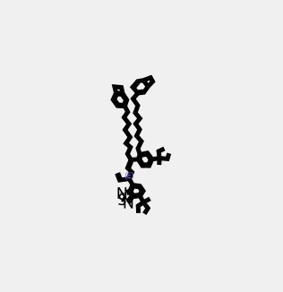 C=C/C(=C\C=C(CCCCCCCCc1ccc2c(c1)CC2)c1ccc(C(C)(CC)CC)cc1CCCCCCCCCC1=CC2CCC2C=C1)c1ccc(C(C)(CC)CC)c2nsnc12